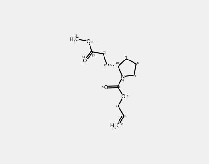 C=CCOC(=O)N1CCC[C@H]1CCC(=O)OC